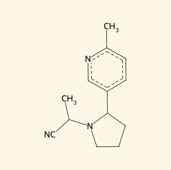 Cc1ccc(C2CCCN2C(C)C#N)cn1